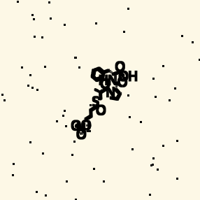 C[C@H](CSC(=O)CCCO[N+](=O)[O-])C(=O)N1CCC[C@H]1C(=O)N[C@H](Cc1ccccc1)C(=O)O